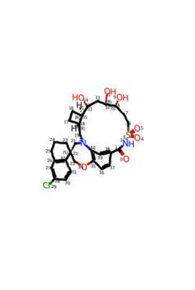 O=C1NS(=O)(=O)CC[C@H](O)[C@H](O)C[C@H](O)[C@@H]2CC[C@H]2CN2C[C@@]3(CCCc4cc(Cl)ccc43)COc3ccc1cc32